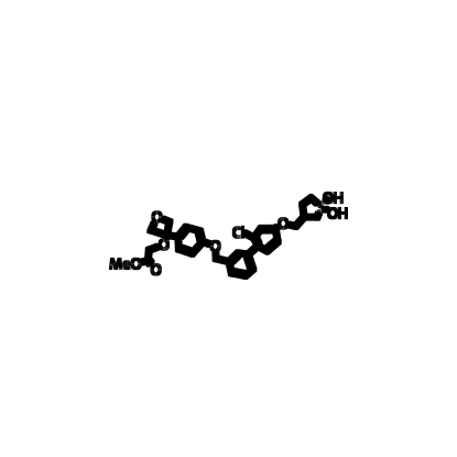 COC(=O)COC1(c2ccc(OCc3cccc(-c4ccc(OCC5CCS(O)(O)C5)cc4Cl)c3)cc2)COC1